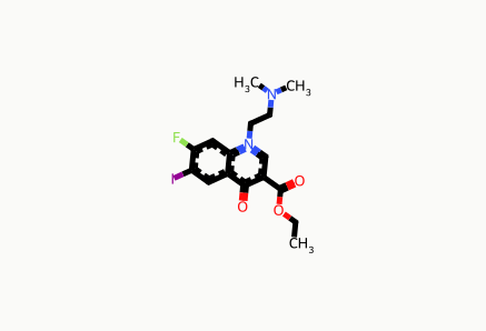 CCOC(=O)c1cn(CCN(C)C)c2cc(F)c(I)cc2c1=O